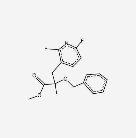 COC(=O)C(C)(Cc1ccc(F)nc1F)OCc1ccccc1